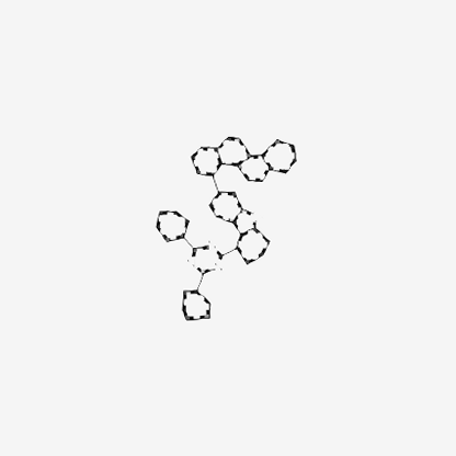 c1ccc(-c2nc(-c3ccccc3)nc(-c3cccc4oc5cc(-c6cccc7ccc8c9ccccc9ccc8c67)ccc5c34)n2)cc1